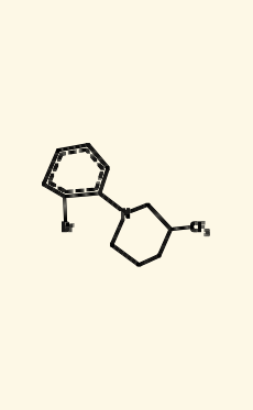 FC(F)(F)C1CCCN(c2ccccc2Br)C1